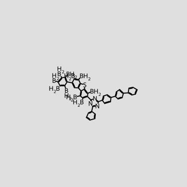 Bc1c(B)c(B)c(-c2cc3c(sc4c(B)c(-c5nc(-c6ccccc6)nc(-c6ccc(-c7ccc(-c8ccccc8)cc7)cc6)n5)c(B)c(B)c43)c(B)c2B)c(B)c1B